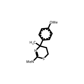 CNC1=NC(C)(c2ccc(OC)cc2)CCS1